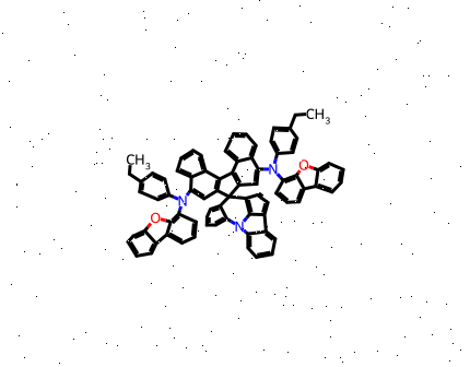 CCc1ccc(N(c2cc3c(c4ccccc24)-c2c(cc(N(c4ccc(CC)cc4)c4cccc5c4oc4ccccc45)c4ccccc24)C32c3ccccc3-n3c4ccccc4c4cccc2c43)c2cccc3c2oc2ccccc23)cc1